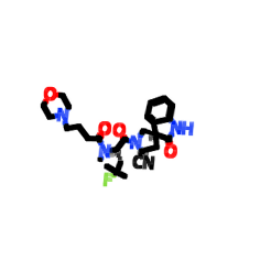 CN(C(=O)CCCN1CCOCC1)[C@@H](CC(C)(C)F)C(=O)N1C[C@]2(C[C@H]1C#N)C(=O)Nc1ccccc12